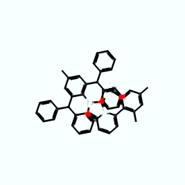 Cc1cc(C)c(-c2cccc3cn(-c4c(C(c5ccccc5)c5ccccc5)cc(C)cc4C(c4ccccc4)c4ccccc4)[c](=[Pd][Cl])n23)c(C)c1